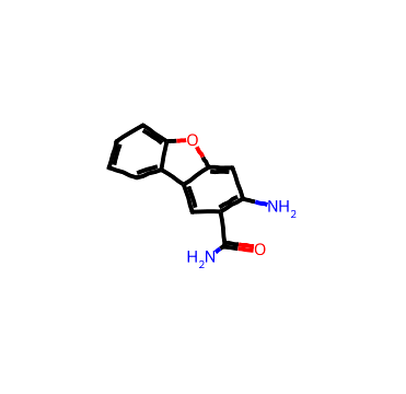 NC(=O)c1cc2c(cc1N)oc1ccccc12